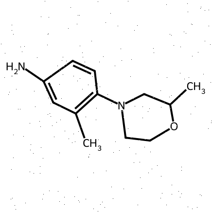 Cc1cc(N)ccc1N1CCOC(C)C1